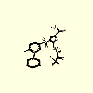 CSc1sc(C(=N)N)cc1S(=O)(=O)c1ccc(C)c(-c2ccccc2)c1.O=C(O)C(F)(F)F